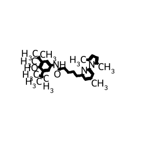 Cc1cc(CCCCC(=O)Nc2cc(C(C)(C)C)c(O)c(C(C)(C)C)c2)nc(-n2c(C)ccc2C)c1